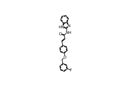 O=C(/C=C/c1ccc(OCc2cccc(F)c2)cc1)Nc1nc2ccccc2[nH]1